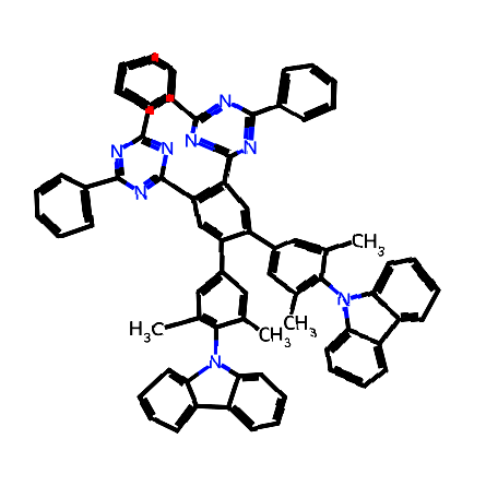 Cc1cc(-c2cc(-c3nc(-c4ccccc4)nc(-c4ccccc4)n3)c(-c3nc(-c4ccccc4)nc(-c4ccccc4)n3)cc2-c2cc(C)c(-n3c4ccccc4c4ccccc43)c(C)c2)cc(C)c1-n1c2ccccc2c2ccccc21